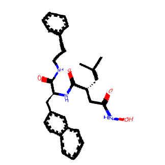 CC(C)C[C@H](CC(=O)NO)C(=O)N[C@@H](Cc1ccc2ccccc2c1)C(=O)NCCc1ccccc1